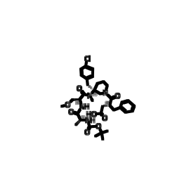 COC[C@H](NC(=O)[C@H](C)NC(=O)OC(C)(C)C)C(=O)N(C)[C@@]1(Cc2ccc(Cl)cc2)CCCN(C(=O)[C@@H](CC(=O)O)Cc2ccccc2)C1